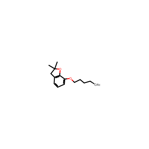 CC(=O)OCCCCOc1cccc2c1OC(C)(C)C2